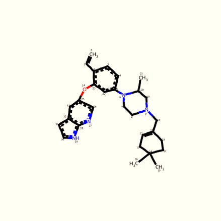 C=Cc1ccc(N2CCN(CC3=CCC(C)(C)CC3)CC2C)cc1Oc1cnc2[nH]ccc2c1